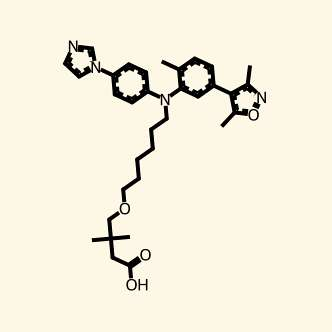 Cc1ccc(-c2c(C)noc2C)cc1N(CCCCCCOCC(C)(C)CC(=O)O)c1ccc(-n2ccnc2)cc1